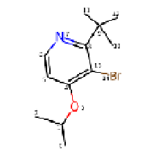 CC(C)Oc1ccnc(C(C)(C)C)c1Br